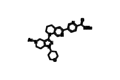 CNC(=O)c1ccc(-c2cc3c(cn2)N(c2nn(C4CCOCC4)c4c2CN(C(C)=O)CC4)CCC3)cn1